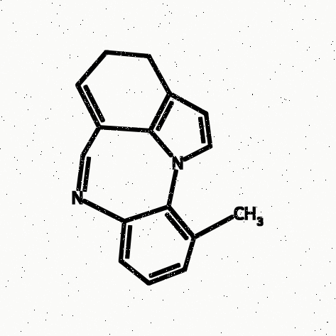 Cc1cccc2c1-n1ccc3c1C(=CCC3)C=N2